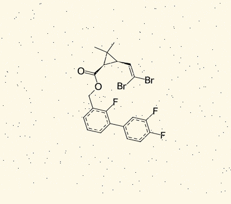 CC1(C)[C@H](C(=O)OCc2cccc(-c3ccc(F)c(F)c3)c2F)[C@@H]1C=C(Br)Br